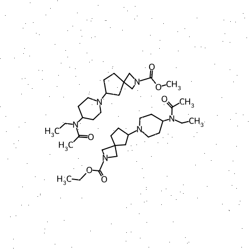 CCN(C(C)=O)C1CCN(C2CCC3(C2)CN(C(=O)OC)C3)CC1.CCOC(=O)N1CC2(CCC(N3CCC(N(CC)C(C)=O)CC3)C2)C1